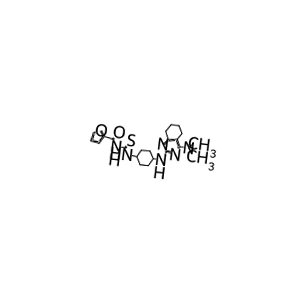 CN(C)c1nc(NC2CCC(NC(=S)NC(=O)c3ccco3)CC2)nc2c1CCCC2